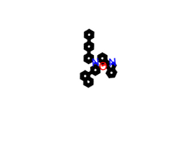 c1ccc(-c2ccc(-c3cccc(N(c4cccc(-c5cccc6ccccc56)c4)c4cccc5c4oc4c6ccccc6cnc54)c3)cc2)cc1